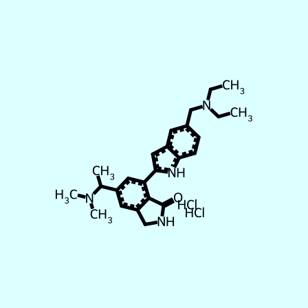 CCN(CC)Cc1ccc2[nH]c(-c3cc(C(C)N(C)C)cc4c3C(=O)NC4)cc2c1.Cl.Cl